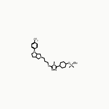 Cn1c(SCCCN2CC3CCN(c4ccc(C(F)(F)F)cc4)C3C2)nnc1C1CCC(O[Si](C)(C)C(C)(C)C)CC1